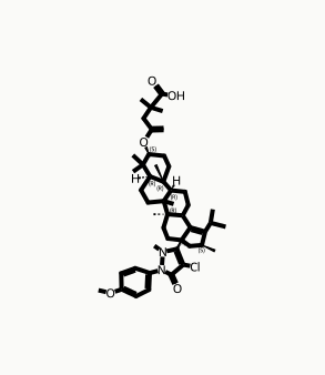 C=C(CC(C)(C)C(=O)O)O[C@H]1CC[C@@]2(C)[C@@H](CCC3(C)[C@@H]2CCC2C4=C(C(C)C)[C@@H](C)C[C@]4(c4c(Cl)c(=O)n(-c5ccc(OC)cc5)n4C)CC[C@]23C)C1(C)C